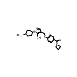 N#Cc1c(COc2ccc(C(=O)N3CCC3)cc2F)cnn1C1CCN(C(=O)O)CC1